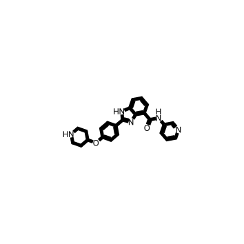 O=C(Nc1cccnc1)c1cccc2[nH]c(-c3ccc(OC4CCNCC4)cc3)nc12